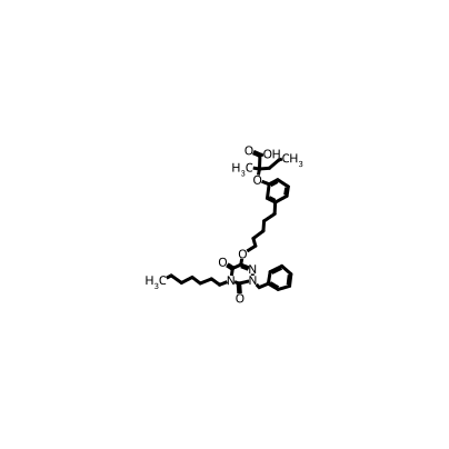 CCCCCCCn1c(=O)c(OCCCCCc2cccc(OC(C)(CCC)C(=O)O)c2)nn(Cc2ccccc2)c1=O